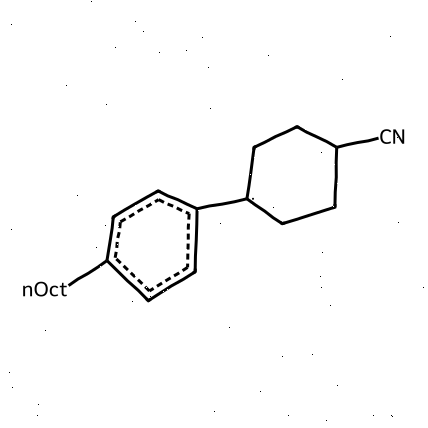 CCCCCCCCc1ccc([C]2CCC(C#N)CC2)cc1